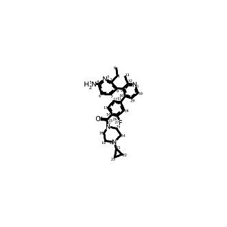 CCc1nc(N)ccc1-c1c(-c2ccc(C(=O)N3CCN(C4CC4)CC3)c(F)c2)ccnc1C